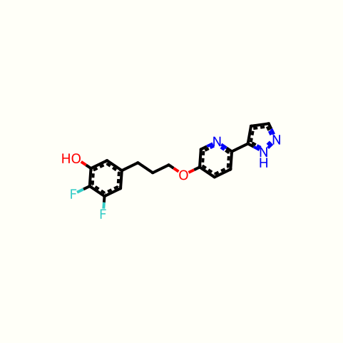 Oc1cc(CCCOc2ccc(-c3ccn[nH]3)nc2)cc(F)c1F